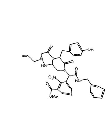 C=CCN1CC(=O)N2C(CN(C(C(=O)NCc3ccccc3)c3cccc(C(=O)OC)c3[N+](=O)[O-])C(=O)C2Cc2ccc(O)cc2)N1